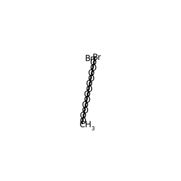 CCOCCOCCOCCOCCOCCOCCOCCOCCOCCOCCOCCOCC(Br)Br